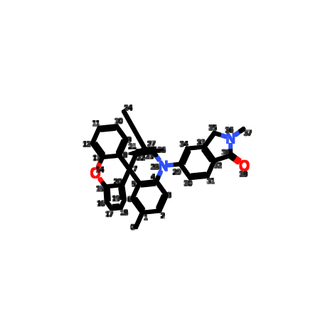 Cc1ccc2c(c1)C1(c3ccccc3Oc3ccccc31)c1cc(C)ccc1N2c1ccc2c(c1)CN(C)C2=O